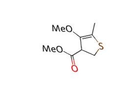 COC(=O)C1CSC(C)=C1OC